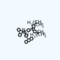 CC(C)(C)c1ccc2c(c1)c1cc(C(C)(C)C)ccc1n2-c1ccc(-c2nc3c4ccccc4c4ccccc4c3n2-c2ccc(-c3c4ccccc4cc4ccccc34)cn2)cc1